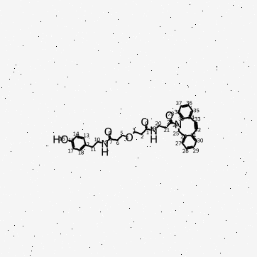 O=C(CCOCCC(=O)NCCc1ccc(O)cc1)NCCC(=O)N1Cc2ccccc2C#Cc2ccccc21